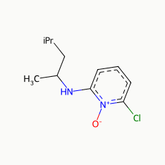 CC(C)CC(C)Nc1cccc(Cl)[n+]1[O-]